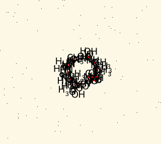 CCC[C@@H]1NC(=O)[C@H](CCC(=O)O)NC(O)CNC(=O)[C@H](CC(C)C)NC(=O)[C@H](Cc2c[nH]cn2)NC(=O)[C@H](Cc2c[nH]c3ccccc23)NC(=O)[C@H](C)NC(=O)[C@@H](NC(=O)[C@H](CC(=O)O)NC)CCC(=O)N2CCC(C(=O)N[C@H](C(N)=O)C(C)O)(CC2)NC(=O)[C@H](Cc2c[nH]c3ccccc23)NC(=O)[C@H](C(C)C)NC1=O